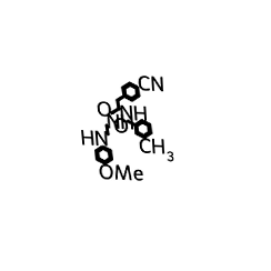 COc1ccc(NCCNC(=O)C(Cc2ccc(C#N)cc2)NC(=O)c2cccc(C)c2)cc1